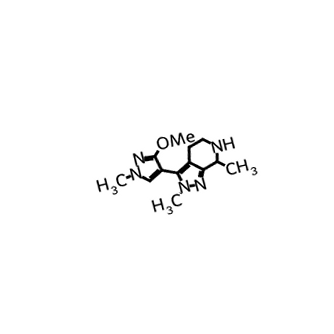 COc1nn(C)cc1-c1c2c(nn1C)C(C)NCC2